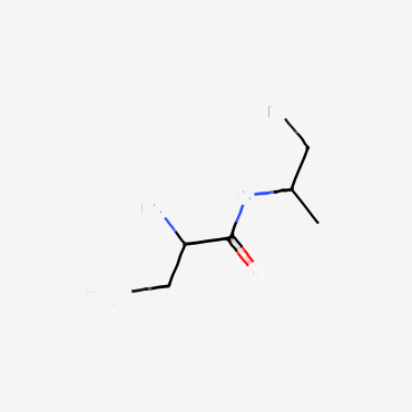 [CH2]C(CC(C)C)NC(=O)C(N)CC(=O)O